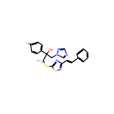 C[C@@H](Sc1nc(C=Cc2ccccc2)ns1)C(O)(Cn1cncn1)c1ccc(F)cc1